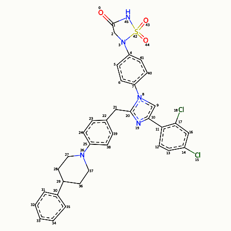 O=C1CN(c2ccc(-n3cc(-c4ccc(Cl)cc4Cl)nc3Cc3ccc(N4CCC(c5ccccc5)CC4)cc3)cc2)S(=O)(=O)N1